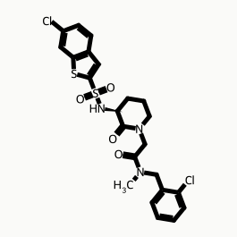 CN(Cc1ccccc1Cl)C(=O)CN1CCC[C@H](NS(=O)(=O)c2cc3ccc(Cl)cc3s2)C1=O